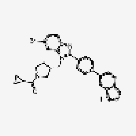 O=C(C1CC1)N1CC[C@H](Cn2c(-c3ccc(-c4ccc5cc[nH]c5c4)cc3)nc3ccc(Br)cc32)C1